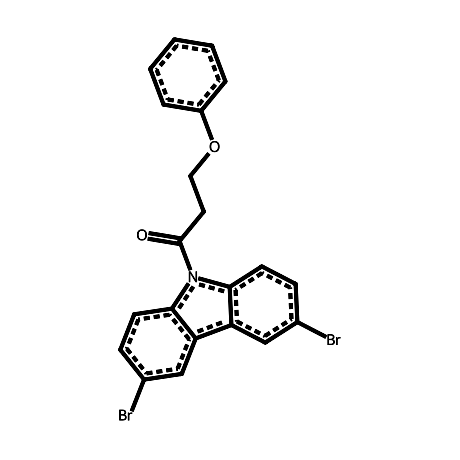 O=C(CCOc1ccccc1)n1c2ccc(Br)cc2c2cc(Br)ccc21